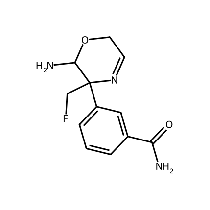 NC(=O)c1cccc(C2(CF)N=CCOC2N)c1